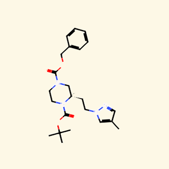 Cc1cnn(CC[C@@H]2CN(C(=O)OCc3ccccc3)CCN2C(=O)OC(C)(C)C)c1